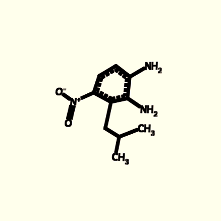 CC(C)Cc1c([N+](=O)[O-])ccc(N)c1N